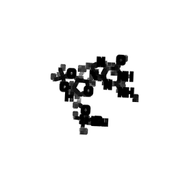 CC1(C)O[C@@H]2[C@@H](CO[Si](C)(C)C(C)(C)C)O[C@@H](n3cnc4c(=O)[nH]c(N)nc43)[C@]2(C)O1